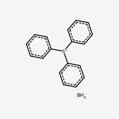 [BH4-].c1ccc([S+](c2ccccc2)c2ccccc2)cc1